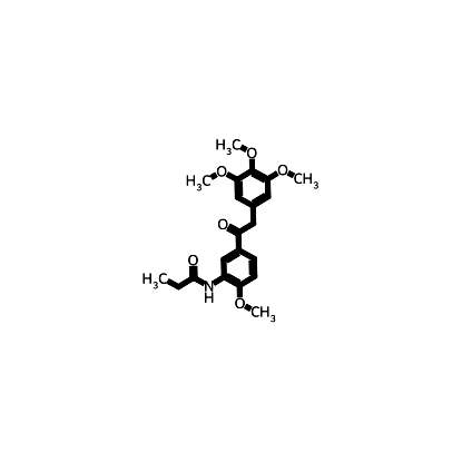 CCC(=O)Nc1cc(C(=O)Cc2cc(OC)c(OC)c(OC)c2)ccc1OC